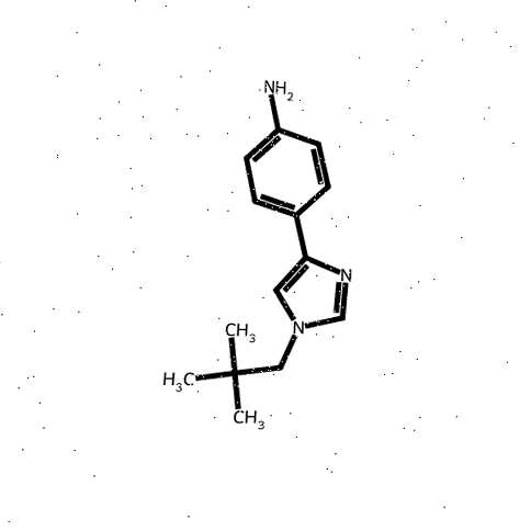 CC(C)(C)Cn1cnc(-c2ccc(N)cc2)c1